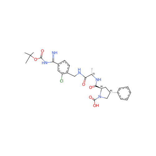 C[C@H](NC(=O)[C@H]1C[C@H](c2ccccc2)CN1C(=O)O)C(=O)NCc1ccc(C(=N)NC(=O)OC(C)(C)C)cc1Cl